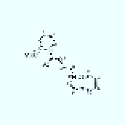 COc1ccccc1C(=O)OCCn1ccc2ccccc21